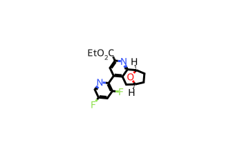 CCOC(=O)c1cc(-c2ncc(F)cc2F)c2c(n1)[C@H]1CC[C@@H](C2)O1